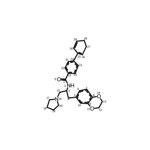 O=C(NC(Cc1ccc2c(c1)OCCO2)CN1CCCC1)c1ccc(C2=CCCC=C2)cc1